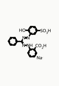 O=C(O)c1ccccc1NN=C(N=Nc1cc(S(=O)(=O)O)ccc1O)c1ccccc1.[Na]